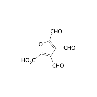 O=Cc1oc(C(=O)O)c(C=O)c1C=O